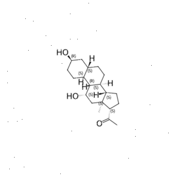 CC(=O)[C@H]1CC[C@H]2[C@@H]3CC[C@H]4C[C@H](O)CC[C@@H]4[C@H]3[C@@H](O)C[C@]12C